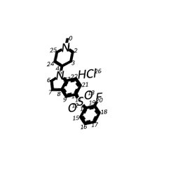 CN1CCC(N2CCc3cc(S(=O)(=O)c4ccccc4F)ccc32)CC1.Cl